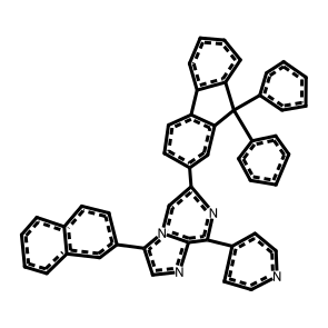 c1ccc(C2(c3ccccc3)c3ccccc3-c3ccc(-c4cn5c(-c6ccc7ccccc7c6)cnc5c(-c5ccncc5)n4)cc32)cc1